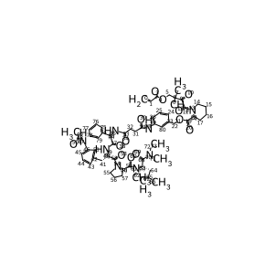 C=CC(=O)OCC(C)(C)C(=O)C(=O)N1CCCC[C@H]1C(=O)OCc1cccc(NC(=O)CCC(=O)N[C@H](C(=O)N[C@@H](Cc2cccc(NC(C)=O)c2)C(=O)N2CCC[C@@H]2C(=O)N(C)[C@@H](CC(C)C)C(=O)N(C)CC)c2ccccc2)c1